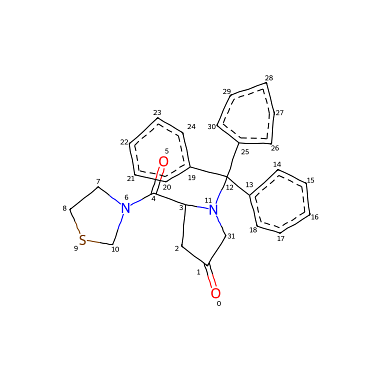 O=C1CC(C(=O)N2CCSC2)N(C(c2ccccc2)(c2ccccc2)c2ccccc2)C1